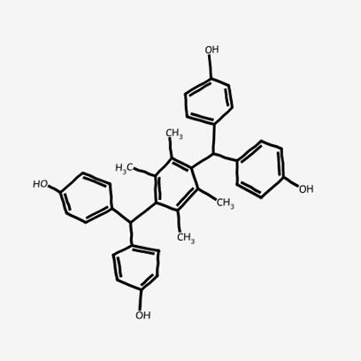 Cc1c(C)c(C(c2ccc(O)cc2)c2ccc(O)cc2)c(C)c(C)c1C(c1ccc(O)cc1)c1ccc(O)cc1